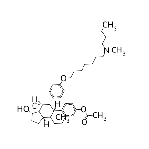 CCCCN(C)CCCCCCCOc1ccc([C@H]2C[C@@]3(C)[C@@H](CC[C@@H]3O)[C@]3(C)CCc4cc(OC(C)=O)ccc4[C@@H]23)cc1